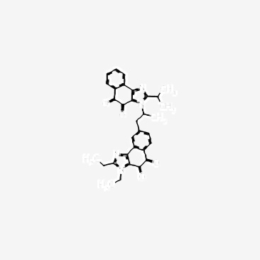 CCc1nc2c(n1CC)C(=O)C(=O)c1ccc(CC(C)n3c(C(C)C)nc4c3C(=O)C(=O)c3ccccc3-4)cc1-2